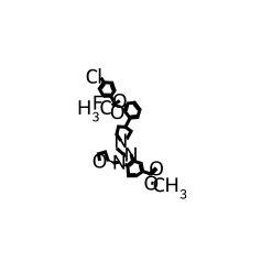 COC(=O)c1ccc2c(c1)nc(CN1CCC(c3cccc4c3OC(C)(c3ccc(Cl)cc3F)O4)CC1)n2C[C@@H]1CCO1